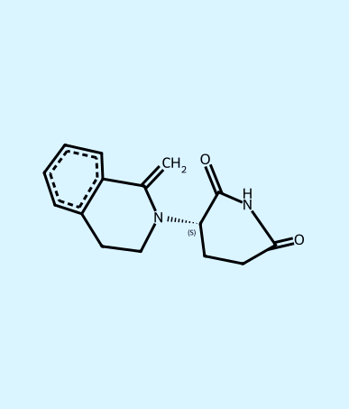 C=C1c2ccccc2CCN1[C@H]1CCC(=O)NC1=O